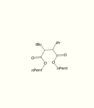 CCCCCOC(=O)C(C(C)C)C(C(=O)OCCCCC)C(C)(C)C